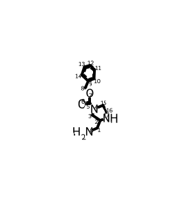 NCC1CN(C(=O)OCc2ccccc2)CCN1